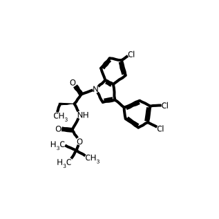 CC[C@H](NC(=O)OC(C)(C)C)C(=O)n1cc(-c2ccc(Cl)c(Cl)c2)c2cc(Cl)ccc21